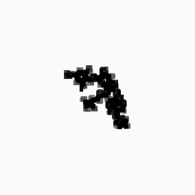 CC(C)(C)[Si](C)(C)O[C@@H]1CO[C@H]2[C@@H]1OC[C@H]2Oc1nc2cc(Cl)c(OCc3c(F)cc(Br)cc3F)nc2n1COCC[Si](C)(C)C